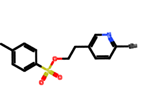 Cc1ccc(S(=O)(=O)OCCc2ccc(C(C)(C)C)nc2)cc1